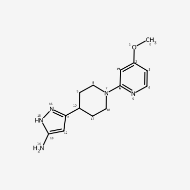 COc1ccnc(N2CCC(c3cc(N)[nH]n3)CC2)c1